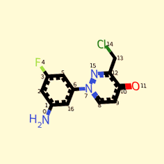 Nc1cc(F)cc(-n2ccc(=O)c(CCl)n2)c1